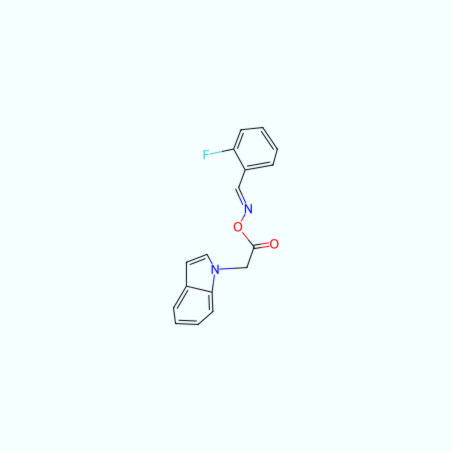 O=C(Cn1ccc2ccccc21)ON=Cc1ccccc1F